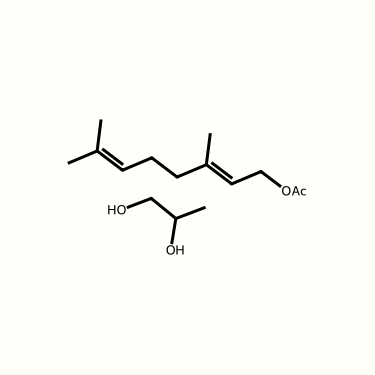 CC(=O)OC/C=C(\C)CCC=C(C)C.CC(O)CO